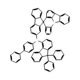 c1ccc(-c2ccc(N(c3ccc4c(c3)C3(c5ccccc5-4)c4ccccc4-n4c5ccccc5c5cccc3c54)c3cccc4c3-c3ccccc3C4(c3ccccc3)c3ccccc3)cc2)cc1